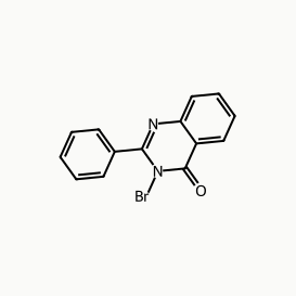 O=c1c2ccccc2nc(-c2ccccc2)n1Br